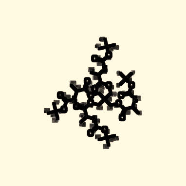 CC(SC(=O)OC(C)(C)C)C(=O)OCC(COC(=O)C(C)SC(=O)OC(C)(C)C)(COC(=O)C(C)SC(=O)OC(C)(C)C)COC(=O)C(C)SC(=O)OC(C)(C)C